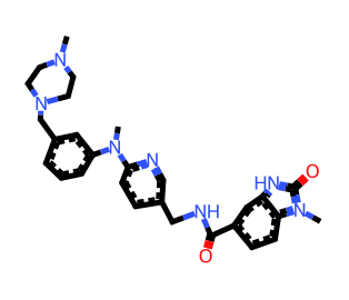 CN1CCN(Cc2cccc(N(C)c3ccc(CNC(=O)c4ccc5c(c4)[nH]c(=O)n5C)cn3)c2)CC1